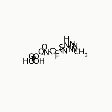 Cn1nnc(Nc2ncc(-c3ccc(N4C[C@H](COP(=O)(O)O)OC4=O)cc3F)s2)n1